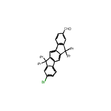 CC(C)C1(C(C)C)c2cc(Br)ccc2-c2cc3c(cc21)-c1ccc(C=O)cc1C3(C(C)C)C(C)C